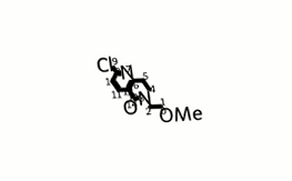 COCCN1CCc2nc(Cl)ccc2C1=O